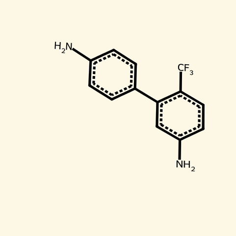 Nc1ccc(-c2cc(N)ccc2C(F)(F)F)cc1